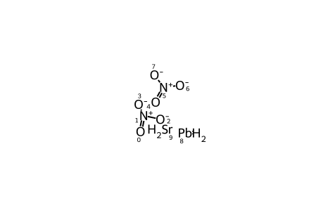 O=[N+]([O-])[O-].O=[N+]([O-])[O-].[PbH2].[SrH2]